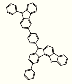 c1ccc(-c2ccc3c(c2)c2c4sc5ccccc5c4ccc2n3-c2ccc(-c3ccc4c(c3)c3ccccc3n4-c3ccccc3)cc2)cc1